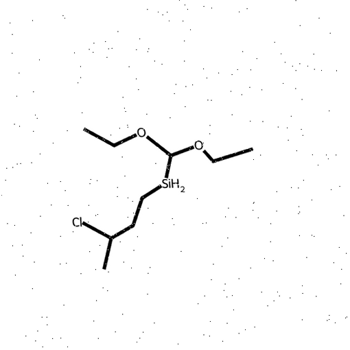 CCOC(OCC)[SiH2]CCC(C)Cl